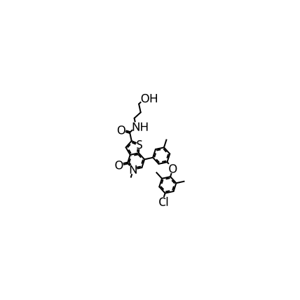 Cc1cc(Oc2c(C)cc(Cl)cc2C)cc(-c2cn(C)c(=O)c3cc(C(=O)NCCCO)sc23)c1